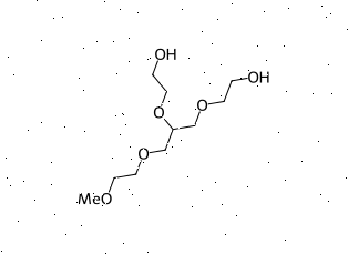 COCCOCC(COCCO)OCCO